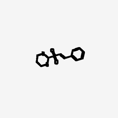 O=S(=O)(C=Cc1ccccc1)C1SCCCS1